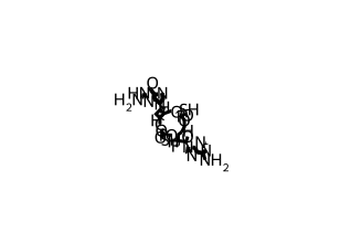 Nc1nc2c(ncn2[C@@H]2C[C@@H]3CO[P@](=O)(S)O[C@H]4[C@@H](F)[C@H](n5cnc6c(N)ncnc65)O[C@@H]4CO[P@@](=O)(S)OC[C@H]32)c(=O)[nH]1